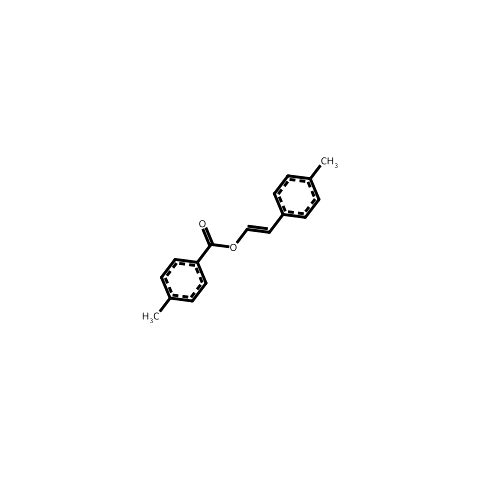 Cc1ccc(C=COC(=O)c2ccc(C)cc2)cc1